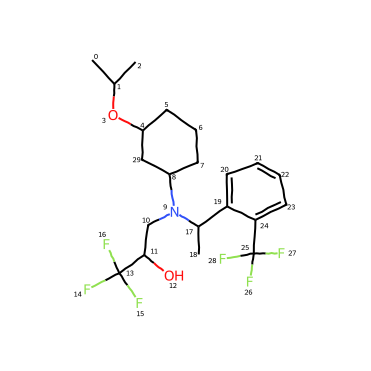 CC(C)OC1CCCC(N(CC(O)C(F)(F)F)C(C)c2ccccc2C(F)(F)F)C1